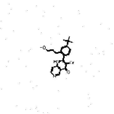 CC(C)(C)c1ccc(-c2[nH]c3ccncc3c(=O)c2Br)c(CCCO)c1